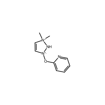 C[N+]1(C)C=C[N+](Oc2ccccn2)N1